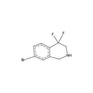 FC1(F)CNCc2cc(Br)ccc21